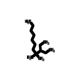 CCCCCCCC(C)(N)C(CC)CC